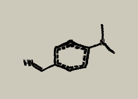 CN(C)c1ccc(C=N)cc1